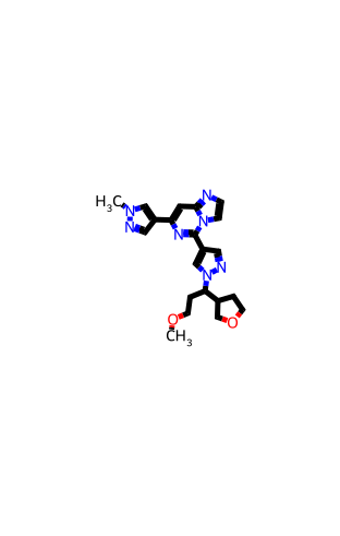 COCCC(C1CCOC1)n1cc(-c2nc(-c3cnn(C)c3)cc3nccn23)cn1